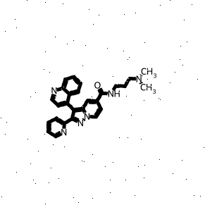 CN(C)CCCNC(=O)c1ccn2nc(-c3ccccn3)c(-c3ccnc4ccccc34)c2c1